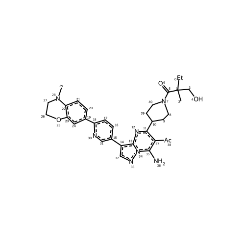 CCC(C)(CO)C(=O)N1CCC(c2nc3c(-c4ccc(-c5ccc6c(c5)OCCN6C)nc4)cnn3c(N)c2C(C)=O)CC1